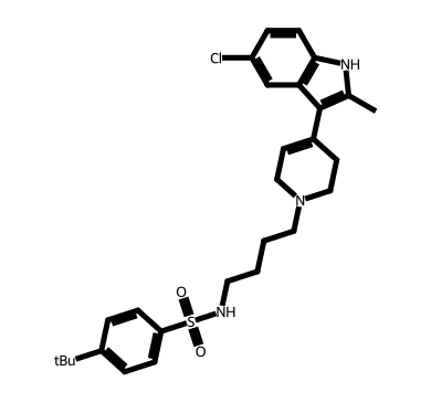 Cc1[nH]c2ccc(Cl)cc2c1C1=CCN(CCCCNS(=O)(=O)c2ccc(C(C)(C)C)cc2)CC1